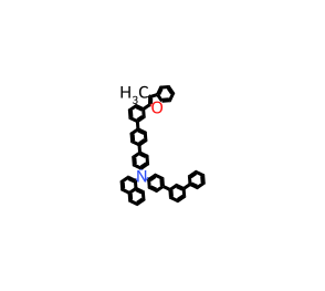 Cc1c(-c2cccc(-c3ccc(-c4ccc(N(c5ccc(-c6cccc(-c7ccccc7)c6)cc5)c5cccc6ccccc56)cc4)cc3)c2)oc2ccccc12